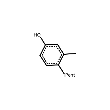 CCCC(C)c1ccc(O)cc1C